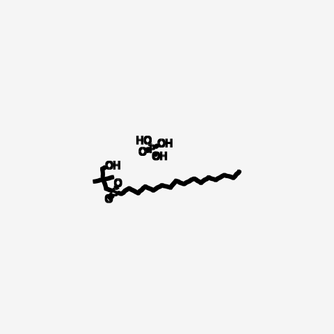 CCCCCCCCCCCCCCCCS(=O)(=O)CC(C)(C)CO.O=P(O)(O)O